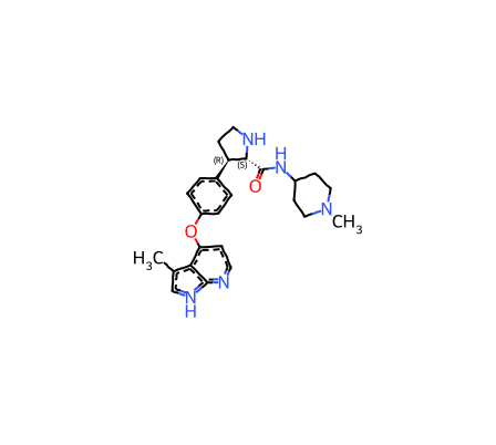 Cc1c[nH]c2nccc(Oc3ccc([C@H]4CCN[C@@H]4C(=O)NC4CCN(C)CC4)cc3)c12